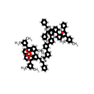 Cc1cc(C)cc(-c2ccc3c(c2)c2ccccc2n3-c2ccc(-c3cc(-c4ccccc4)nc(-c4cccc(-c5cc(-c6ccc7c(c6)c6ccccc6n7-c6cccc(C#N)c6-c6cc(-c7cc(-c8ccccc8)nc(-c8ccccc8)n7)ccc6-n6c7ccccc7c7cc(-c8ccc(C)cc8C)ccc76)c(C)cc5C)c4)n3)cc2-c2c(C#N)cccc2-n2c3ccccc3c3cc(-c4cc(C)cc(C)c4)ccc32)c1